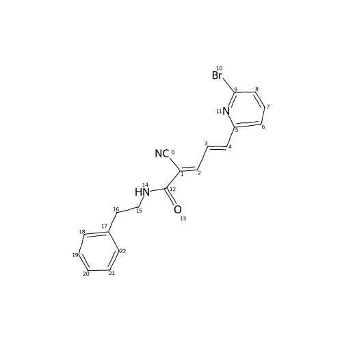 N#C/C(=C\C=C\c1cccc(Br)n1)C(=O)NCCc1ccccc1